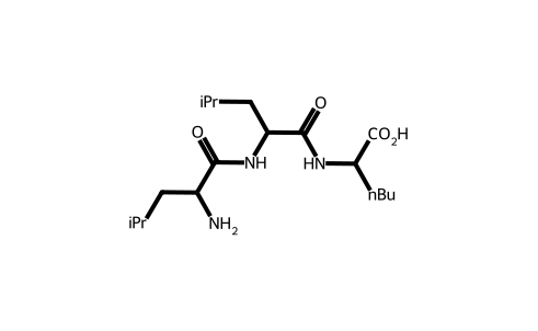 CCCCC(NC(=O)C(CC(C)C)NC(=O)C(N)CC(C)C)C(=O)O